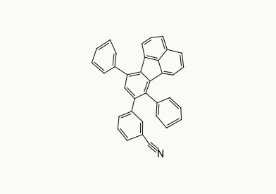 N#Cc1cccc(-c2cc(-c3ccccc3)c3c(c2-c2ccccc2)-c2cccc4cccc-3c24)c1